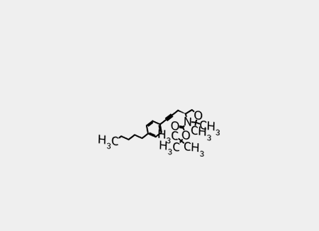 CCCCCc1ccc(C#CC[C@H]2COC(C)(C)N2C(=O)OC(C)(C)C)cc1